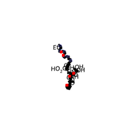 CC/C=C\C/C=C\C/C=C\C/C=C\C/C=C\C/C=C\CCC(=O)N[C@@H](CSSC(C)(C)[C@H](NC(=O)c1cc(-c2ccccc2)on1)C(=O)NC(CO)CO)C(=O)O